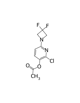 CC(=O)Oc1ccc(N2CC(F)(F)C2)nc1Cl